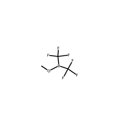 COB(C(F)(F)F)C(F)(F)F